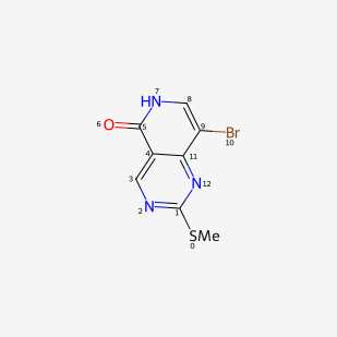 CSc1ncc2c(=O)[nH]cc(Br)c2n1